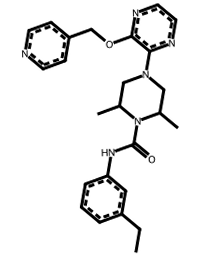 CCc1cccc(NC(=O)N2C(C)CN(c3nccnc3OCc3ccncc3)CC2C)c1